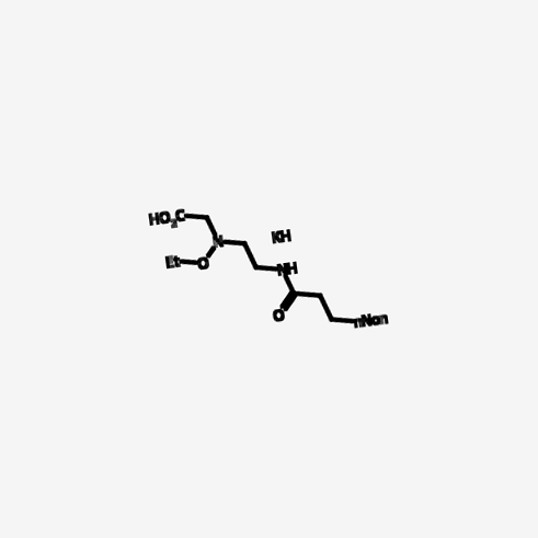 CCCCCCCCCCCC(=O)NCCN(CC(=O)O)OCC.[KH]